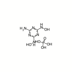 Nc1nc(NO)nc(NO)n1.O=P(O)(O)O